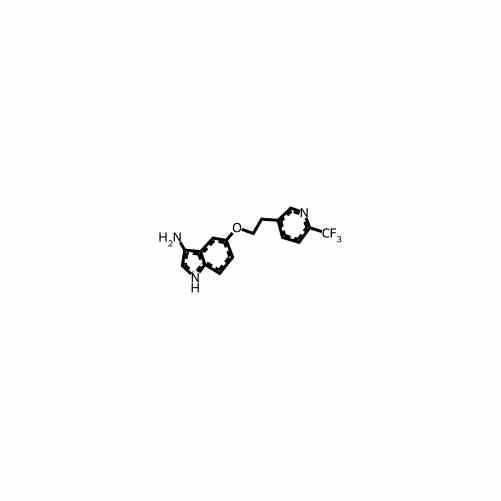 Nc1c[nH]c2ccc(OCCc3ccc(C(F)(F)F)nc3)cc12